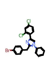 Clc1ccc(-c2cn(-c3c[c]ccc3)c(Cc3ccc(Br)cc3)n2)c(Cl)c1